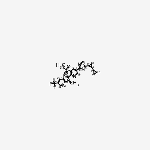 CCS(=O)(=O)c1cc(-c2noc(C3CC3C3CC3)n2)cnc1-c1nc2cc(C(F)(F)F)cnc2n1C